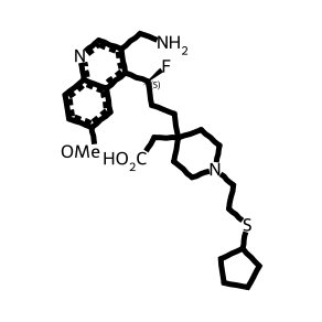 COc1ccc2ncc(CN)c([C@@H](F)CCC3(CC(=O)O)CCN(CCSC4CCCC4)CC3)c2c1